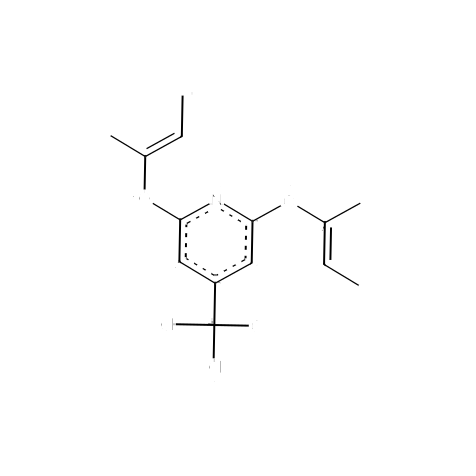 CC=C(C)Oc1cc(C(Cl)(Cl)Cl)cc(OC(C)=CC)n1